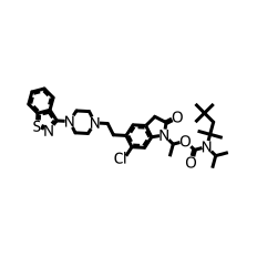 CC(OC(=O)N(C(C)C)C(C)(C)CC(C)(C)C)N1C(=O)Cc2cc(CCN3CCN(c4nsc5ccccc45)CC3)c(Cl)cc21